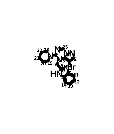 Brc1cnn2c1N(Cc1nc3ccccc3[nH]1)C(N1CCCCC1)N=C2